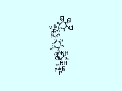 Cc1cc(/C(F)=C/C(c2cc(Cl)c(Cl)c(Cl)c2)C(C)(F)F)ccc1C(=O)NC(C)C(=O)NCC(F)(F)F